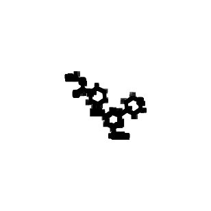 COc1cc(N[C@@H]2CCCN(C(=O)OC(C)(C)C)C2)nc(C2CCOCC2)n1